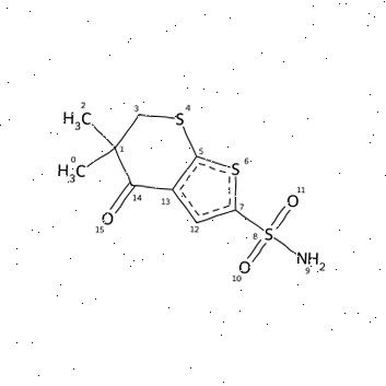 CC1(C)CSc2sc(S(N)(=O)=O)cc2C1=O